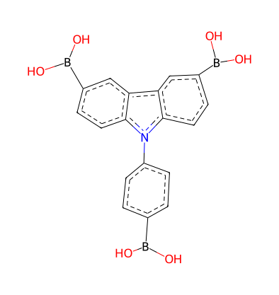 OB(O)c1ccc(-n2c3ccc(B(O)O)cc3c3cc(B(O)O)ccc32)cc1